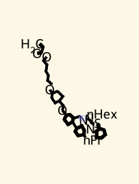 C=CC(=O)OCCCCCCOC1CCC(COc2ccc(-c3ccc(CCC)cc3)c(/C=N/N(CCCCCC)c3nc4ccccc4s3)c2)CC1